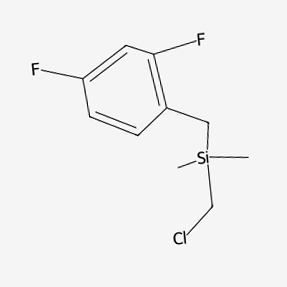 C[Si](C)(CCl)Cc1ccc(F)cc1F